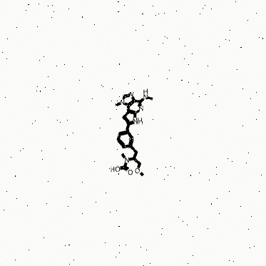 CNc1nc2[nH]c(-c3cccc(CC(COC)N(C)C(=O)O)c3)cc2c2c1ncn2C